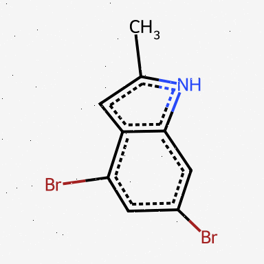 Cc1cc2c(Br)cc(Br)cc2[nH]1